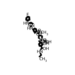 CCCCNCC(O)c1ccc(C[N+]2(C)CCC(N(C)S(=O)(=O)c3ccc(Nc4nccc(Nc5ccc(F)cc5)n4)cc3)CC2)c(OP(=O)(O)O)c1